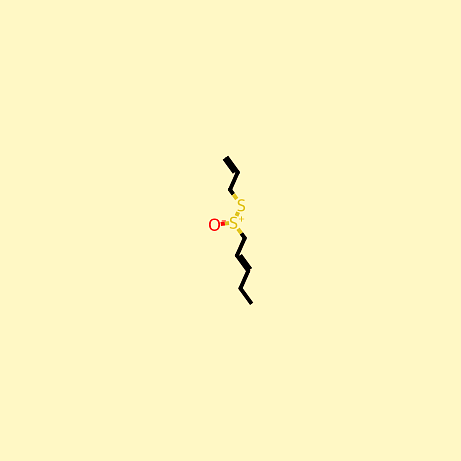 C=CCS[S+]([O-])CC=CCC